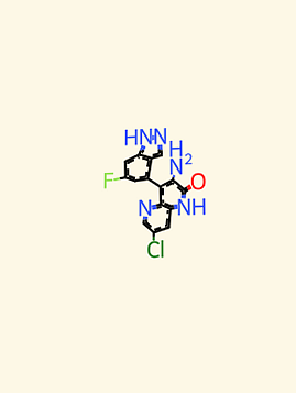 Nc1c(-c2cc(F)cc3[nH]ncc23)c2ncc(Cl)cc2[nH]c1=O